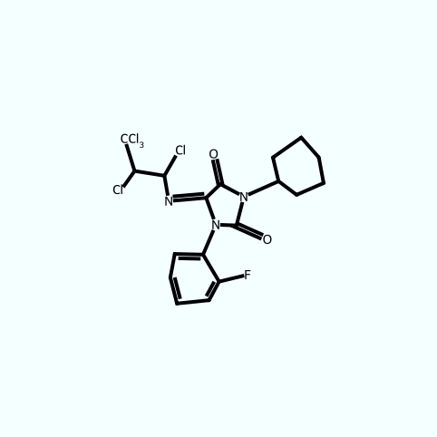 O=C1C(=NC(Cl)C(Cl)C(Cl)(Cl)Cl)N(c2ccccc2F)C(=O)N1C1CCCCC1